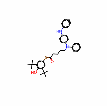 CC(C)(C)c1cc(SC(=O)CCCCN(c2ccccc2)c2ccc(Nc3cc#ccc3)cc2)cc(C(C)(C)C)c1O